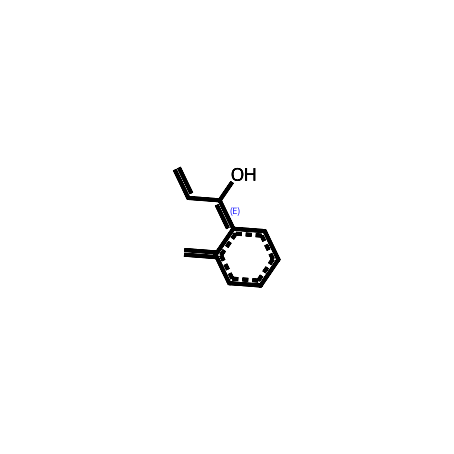 C=C/C(O)=c1/ccccc1=C